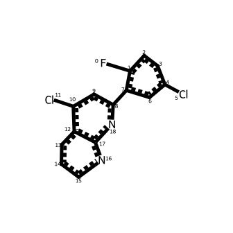 Fc1ccc(Cl)cc1-c1cc(Cl)c2cccnc2n1